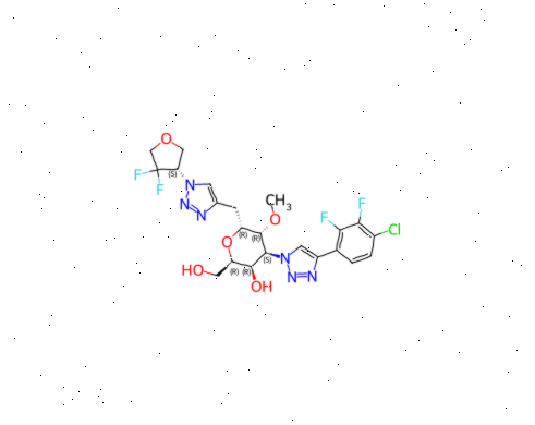 CO[C@@H]1[C@@H](n2cc(-c3ccc(Cl)c(F)c3F)nn2)[C@@H](O)[C@@H](CO)O[C@@H]1Cc1cn([C@H]2COCC2(F)F)nn1